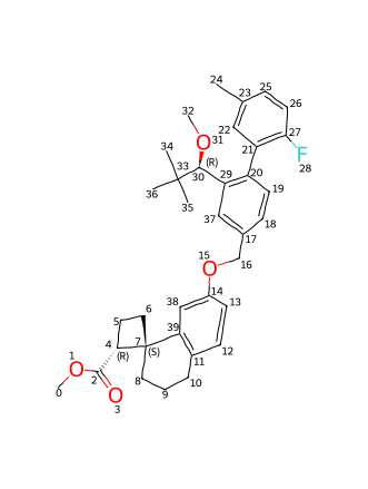 COC(=O)[C@@H]1CC[C@@]12CCCc1ccc(OCc3ccc(-c4cc(C)ccc4F)c([C@H](OC)C(C)(C)C)c3)cc12